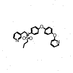 CCCS(=O)(=O)N(Cc1cccnc1)c1ccc(Oc2ccc(Oc3ccccn3)cc2)cc1